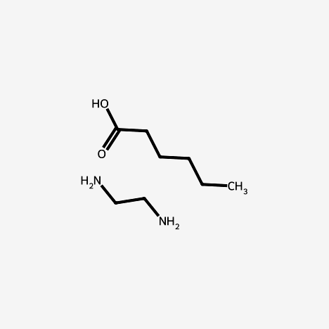 CCCCCC(=O)O.NCCN